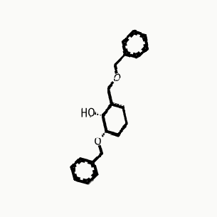 O[C@@H]1C(COCc2ccccc2)CCC[C@@H]1OCc1ccccc1